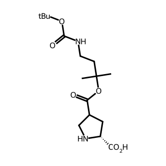 CC(C)(C)OC(=O)NCCC(C)(C)OC(=O)C1CN[C@@H](C(=O)O)C1